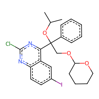 CC(C)OC(COC1CCCCO1)(c1ccccc1)c1nc(Cl)nc2ccc(I)cc12